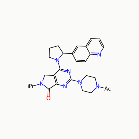 CC(=O)N1CCN(c2nc3c(c(N4CCCC4c4ccc5ncccc5c4)n2)CN(C(C)C)C3=O)CC1